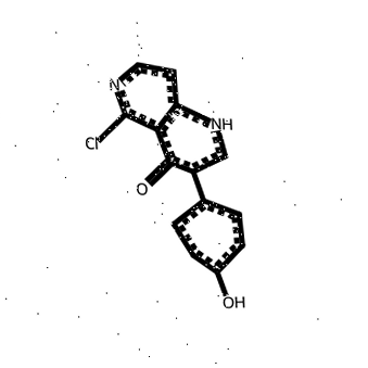 O=c1c(-c2ccc(O)cc2)c[nH]c2ccnc(Cl)c12